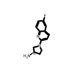 N[C@@H]1CCN(c2ccc3cc(F)ccc3n2)C1